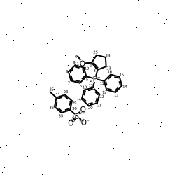 COC1=C([P+](c2ccccc2)(c2ccccc2)c2ccccc2)CCC1.Cc1ccc(S(=O)(=O)[O-])cc1